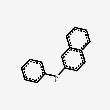 [c]1ccc(Nc2ccc3ccccc3c2)cc1